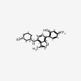 CCN1CCC[C@@H](Nc2nnc(-c3ccc(C(F)(F)F)cc3O)c3onc(C)c23)C1